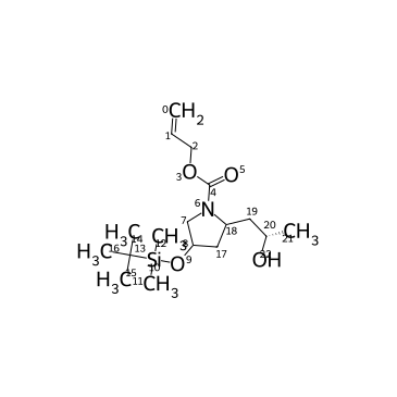 C=CCOC(=O)N1CC(O[Si](C)(C)C(C)(C)C)CC1C[C@H](C)O